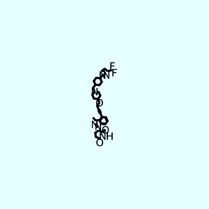 Cc1nn(C2CCC(=O)NC2=O)c2cccc(C#CCOC3CCN(CC4CCC(n5ccc(C(F)F)n5)CC4)CC3)c12